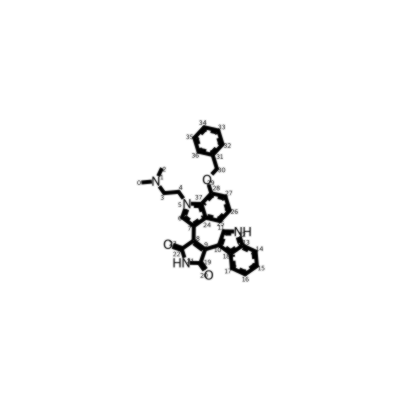 CN(C)CCn1cc(C2=C(c3c[nH]c4ccccc34)C(=O)NC2=O)c2cccc(OCc3ccccc3)c21